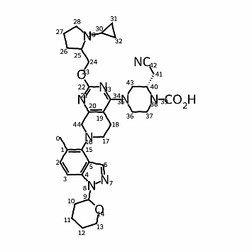 Cc1ccc2c(cnn2C2CCCCO2)c1N1CCc2c(nc(OCC3CCCN3C3CC3)nc2N2CCN(C(=O)O)[C@@H](CC#N)C2)C1